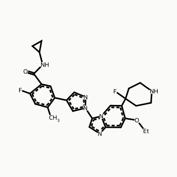 CCOc1cc2ncc(-n3cc(-c4cc(C(=O)NC5CC5)c(F)cc4C)cn3)n2cc1C1(F)CCNCC1